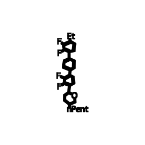 CCCCCC1CCC(c2ccc(-c3ccc(-c4ccc(CC)c(F)c4F)cc3)c(F)c2F)OC1